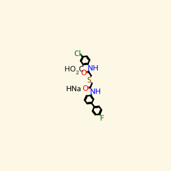 O=C(CSCC(=O)Nc1ccc(Cl)cc1C(=O)O)Nc1cccc(-c2ccc(F)cc2)c1.[NaH]